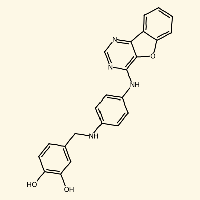 Oc1ccc(CNc2ccc(Nc3ncnc4c3oc3ccccc34)cc2)cc1O